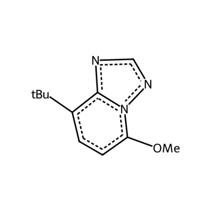 COc1ccc(C(C)(C)C)c2ncnn12